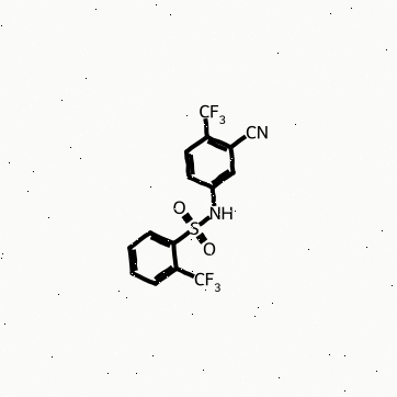 N#Cc1cc(NS(=O)(=O)c2ccccc2C(F)(F)F)ccc1C(F)(F)F